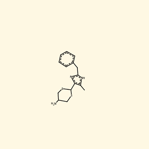 Cc1[nH]c(Cc2ccccc2)nc1C1SCC(N)CS1